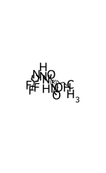 CCCCC[C@H](CN(O)C=O)C(=O)NNc1cc(C(F)(F)F)ccn1